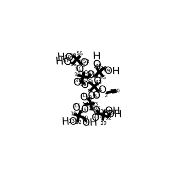 C#CCOC(=O)C(C)(COC(=O)C(C)(COC(=O)C(C)(CO)CO)COC(=O)C(C)(CO)CO)COC(=O)C(C)(COC(=O)C(C)(CO)CO)COC(=O)C(C)(CO)CO